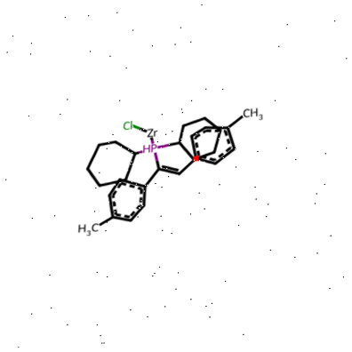 Cc1ccc(C=C(c2ccc(C)cc2)[PH]([Zr][Cl])(C2CCCCC2)C2CCCCC2)cc1